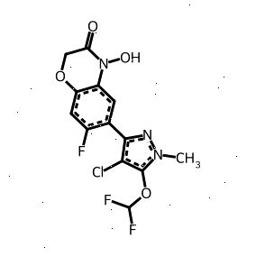 Cn1nc(-c2cc3c(cc2F)OCC(=O)N3O)c(Cl)c1OC(F)F